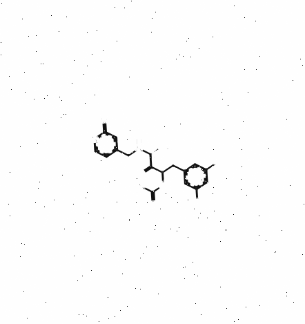 CC(C)(C)[C@H](NCc1cc[nH]c(=O)c1)C(=O)C(Cc1cc(F)cc(F)c1)OC(N)=O